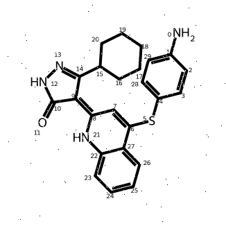 Nc1ccc(SC2=CC(=C3C(=O)NN=C3C3CCCCC3)Nc3ccccc32)cc1